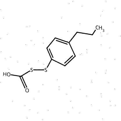 CCCc1ccc(SSC(=O)O)cc1